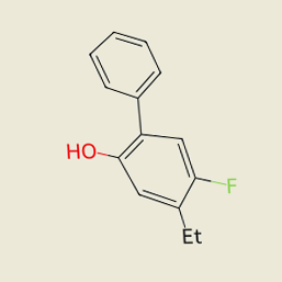 CCc1cc(O)c(-c2ccccc2)cc1F